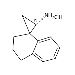 Cl.N[C@H]1CC12CCCc1ccccc12